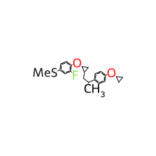 CSc1ccc(OC2CC2CC(C)c2ccc(OC3CC3)cc2)c(F)c1